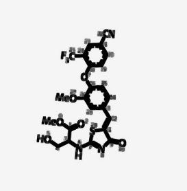 COC(=O)C(CO)NC1=NC(=O)C(=Cc2ccc(Oc3ccc(C#N)cc3C(F)(F)F)c(OC)c2)S1